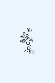 [CH2]=[Zr]([CH2]C)([C]1=C(C)C(CC23CC4CC(CC(C4)C2)C3)=CC1C)([C]1=C(C)c2cc3c(cc2C1(C)C)Cc1cc2c(cc1-3)C(C)=CC2(C)C)[c]1ccccc1